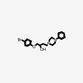 OC(CCN1CCN(c2ccccc2)CC1)COc1ccc(Br)cc1